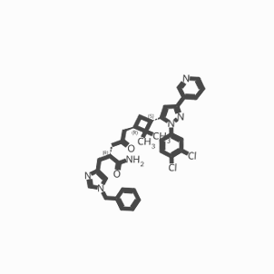 CC1(C)[C@@H](CC(=O)C[C@@H](Cc2cn(Cc3ccccc3)cn2)C(N)=O)C[C@@H]1c1cc(-c2cccnc2)nn1-c1ccc(Cl)c(Cl)c1